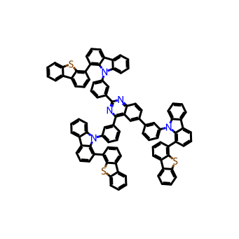 c1cc(-c2ccc3nc(-c4cccc(-n5c6ccccc6c6cccc(-c7cccc8c7sc7ccccc78)c65)c4)nc(-c4cccc(-n5c6ccccc6c6cccc(-c7cccc8c7sc7ccccc78)c65)c4)c3c2)cc(-n2c3ccccc3c3cccc(-c4cccc5c4sc4ccccc45)c32)c1